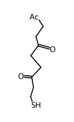 CC(=O)CCC(=O)CCC(=O)CCS